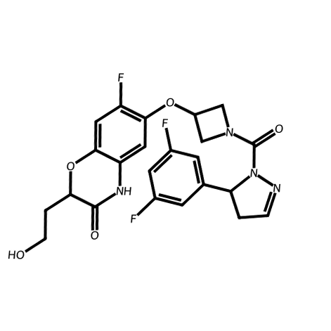 O=C1Nc2cc(OC3CN(C(=O)N4N=CCC4c4cc(F)cc(F)c4)C3)c(F)cc2OC1CCO